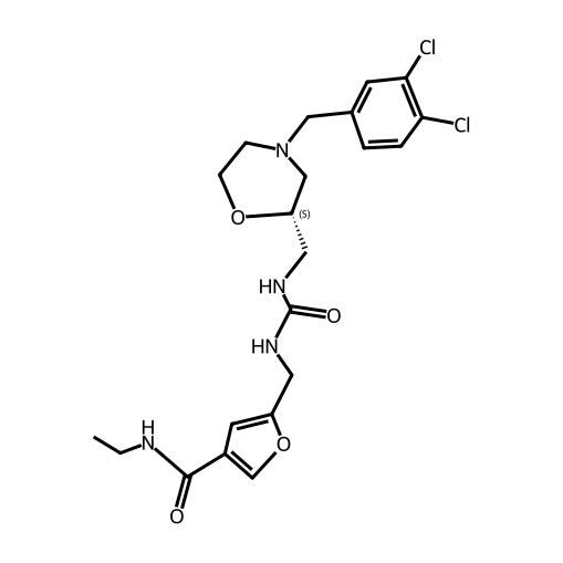 CCNC(=O)c1coc(CNC(=O)NC[C@H]2CN(Cc3ccc(Cl)c(Cl)c3)CCO2)c1